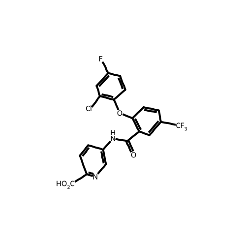 O=C(O)c1ccc(NC(=O)c2cc(C(F)(F)F)ccc2Oc2ccc(F)cc2Cl)cn1